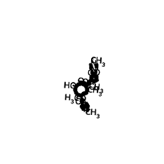 C/C(=C\c1cccc(S(=O)(=O)N2CCN(C)CC2)c1)[C@H]1C(=O)C(=O)C[C@H](O)CC[C@H](C)[C@@H](OC(=O)N2CCN(C)CC2)/C=C/[C@@H]1C